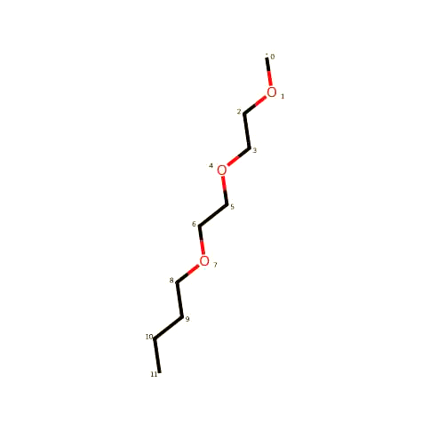 [CH2]OCCOCCOCCCC